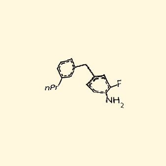 CCCc1cccc(Cc2ccc(N)c(F)c2)c1